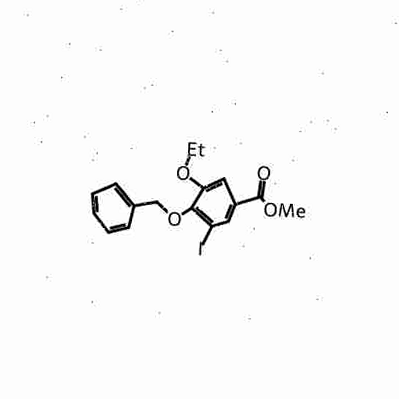 CCOc1cc(C(=O)OC)cc(I)c1OCc1ccccc1